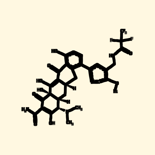 CCOc1ccc(-c2ccc(O)c3c2C[C@H]2C[C@H]4[C@H](N(C)C)C(O)=C(C(N)=O)C(=O)[C@@]4(O)C(O)=C2C3=O)cc1CNC(=O)C(F)(F)C(F)(F)F